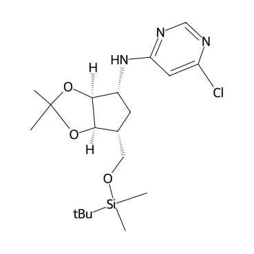 CC1(C)O[C@@H]2[C@@H](CO[Si](C)(C)C(C)(C)C)C[C@@H](Nc3cc(Cl)ncn3)[C@@H]2O1